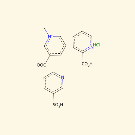 C[n+]1cccc(C(=O)[O-])c1.Cl.O=C(O)c1ccccn1.O=S(=O)(O)c1cccnc1